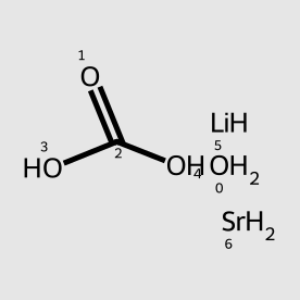 O.O=C(O)O.[LiH].[SrH2]